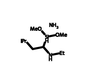 CCNC(CC(C)C)[SiH](OC)OC.N